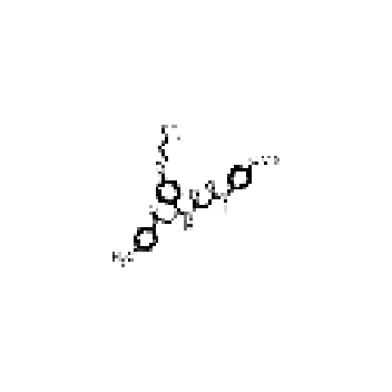 COc1ccc(NC(=O)CC(=O)N[C@H](CC(=O)c2ccc(C)cc2)c2ccc(OCCCC(F)(F)F)cc2)cc1